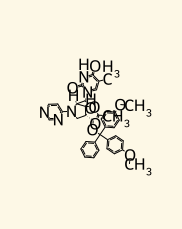 COc1ccc(C(OC[C@@]23CN(c4ccncn4)[C@@H]([C@H](n4cc(C)c(=O)[nH]c4=O)O2)[C@@H]3OC(C)=O)(c2ccccc2)c2ccc(OC)cc2)cc1